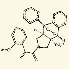 C=C(C(=O)N1C[C@H]2[C@@]3(c4ccccc4)CC[C@H](c4ccccc43)[C@@]2(C(=O)O)C1)c1ccccc1OC